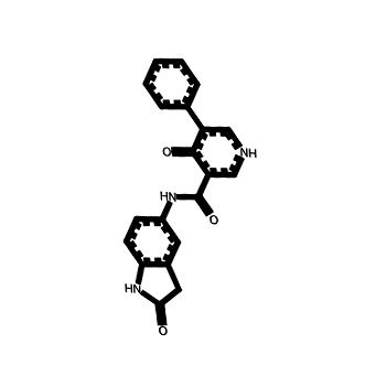 O=C1Cc2cc(NC(=O)c3c[nH]cc(-c4ccccc4)c3=O)ccc2N1